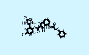 O=C(CSc1ccccc1)Nc1cccc2cc(C(=O)Nc3ccc(Cl)cc3-c3noc(=O)[nH]3)[nH]c12